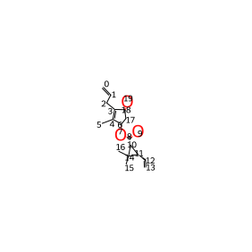 C=CCC1=C(C)C(OC(=O)[C@@H]2[C@@H](C=C)C2(C)C)CC1=O